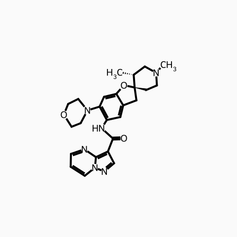 C[C@@H]1CN(C)CC[C@]12Cc1cc(NC(=O)c3cnn4cccnc34)c(N3CCOCC3)cc1O2